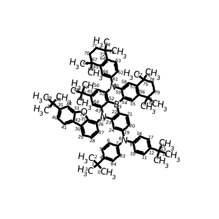 CC(C)(C)c1ccc(N(c2ccc(C(C)(C)C)cc2)c2ccc3c(c2)N(c2cccc4c2oc2cc(C(C)(C)C)ccc24)c2cc(C(C)(C)C)cc4c2B3c2cc3c(cc2N4c2ccc4c(c2)C(C)(C)CCC4(C)C)C(C)(C)CCC3(C)C)cc1